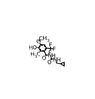 COc1cc(C(F)(F)F)c(C(=O)NC(=O)NCC2CC2)c(C)c1O